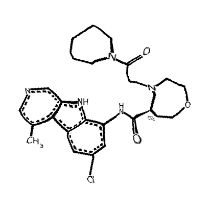 Cc1cncc2[nH]c3c(NC(=O)[C@@H]4COCCN4CC(=O)N4CCCCC4)cc(Cl)cc3c12